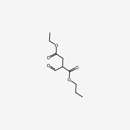 CCCOC(=O)C(C=O)CC(=O)OCC